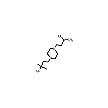 CC(C)CCN1CCN(CCC(C)(I)I)CC1